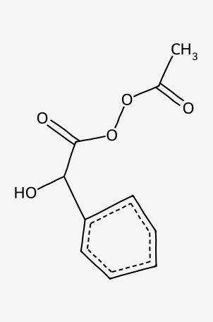 CC(=O)OOC(=O)C(O)c1ccccc1